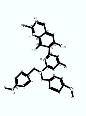 COc1ccc(CN(Cc2ccc(OC)cc2)c2cc(C)cc(-c3c(Cl)cc4cnc(F)nc4c3F)n2)cc1